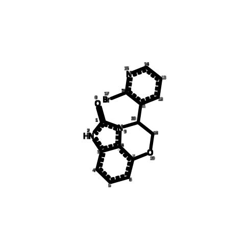 O=c1[nH]c2cccc3c2n1C(c1cccnc1Br)CO3